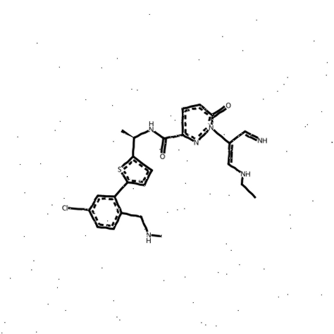 CCN/C=C(\C=N)n1nc(C(=O)N[C@H](C)c2ccc(-c3cc(Cl)ccc3CNC)s2)ccc1=O